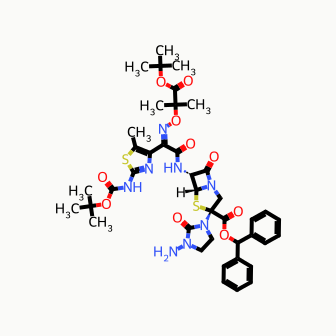 Cc1sc(NC(=O)OC(C)(C)C)nc1/C(=N/OC(C)(C)C(=O)OC(C)(C)C)C(=O)N[C@@H]1C(=O)N2C[C@@](C(=O)OC(c3ccccc3)c3ccccc3)(N3CCN(N)C3=O)S[C@H]12